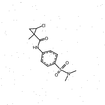 CN(C)S(=O)(=O)c1ccc(NC(=O)C2(C)CC2Cl)cc1